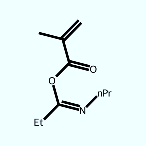 C=C(C)C(=O)OC(CC)=NCCC